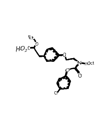 CCCCCCCCN(CCOc1ccc(CC(OCC)C(=O)O)cc1)C(=O)Oc1ccc(Cl)cc1